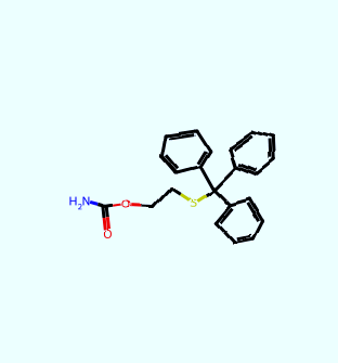 NC(=O)OCCSC(c1ccccc1)(c1ccccc1)c1ccccc1